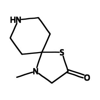 CN1CC(=O)SC12CCNCC2